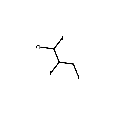 ClC(I)C(I)CI